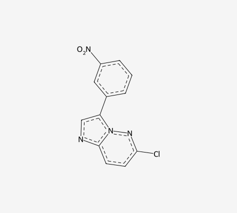 O=[N+]([O-])c1cccc(-c2cnc3ccc(Cl)nn23)c1